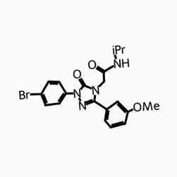 COc1cccc(-c2nn(-c3ccc(Br)cc3)c(=O)n2CC(=O)NC(C)C)c1